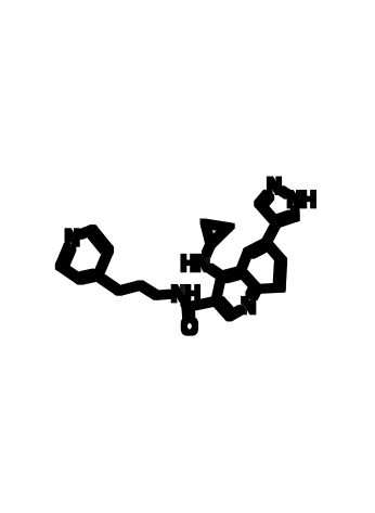 O=C(NCCCc1ccncc1)c1cnc2ccc(-c3cn[nH]c3)cc2c1NC1CC1